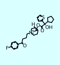 O=C(CCC[N+]12CCC(CC1)[C@@H](OC(=O)[C@](O)(c1cccs1)C1CCCC1)C2)c1ccc(F)cc1